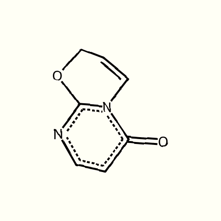 O=c1ccnc2n1C=CCO2